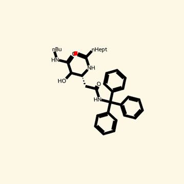 CCCCCCCC(=O)N[C@H](CC(=O)NC(c1ccccc1)(c1ccccc1)c1ccccc1)C(O)C(=O)NCCCC